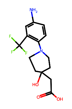 Nc1ccc(N2CCC(O)(CC(=O)O)CC2)c(C(F)(F)F)c1